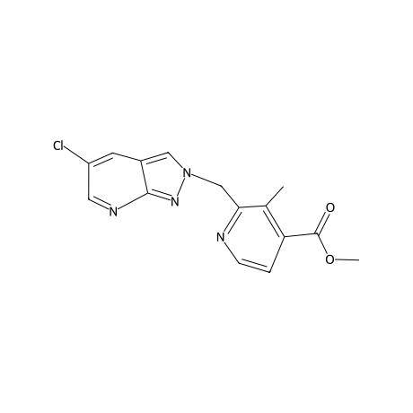 COC(=O)c1ccnc(Cn2cc3cc(Cl)cnc3n2)c1C